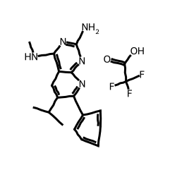 CNc1nc(N)nc2nc(-c3ccccc3)c(C(C)C)cc12.O=C(O)C(F)(F)F